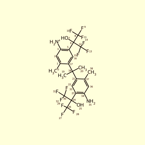 Cc1cc(N)c(C(O)(C(F)(F)F)C(F)(F)F)cc1C(C)(C)c1cc(C(O)(C(F)(F)F)C(F)(F)F)c(N)cc1C